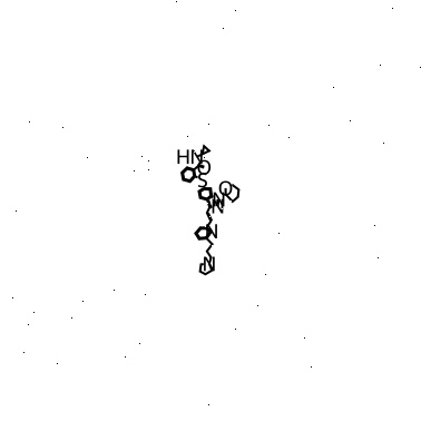 O=C(NC1CC1)c1ccccc1Sc1ccc2c(/C=C/c3cccc(CCCN4CCCC4)n3)nn(C3CCCCO3)c2c1